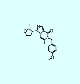 COc1ccc(Cn2c(C)cn3c([C@@H]4CCO[C@@H]4C)ncc3c2=O)cc1